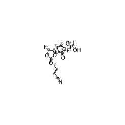 CC=CC#N.O=C1OCC(F)O1.O=P(O)(F)F.O=c1occo1